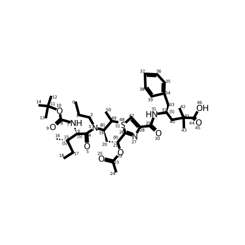 CCCN(C(=O)[C@@H](NC(=O)OC(C)(C)C)[C@@H](C)CC)[C@H](C[C@@H](OC(C)=O)c1nc(C(=O)N[C@@H](Cc2ccccc2)CC(C)(C)C(=O)O)cs1)C(C)C